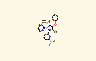 CCc1c(Oc2ccccc2)c[nH]c1-c1cccc(C(F)F)n1.O=C(O)c1cnncn1